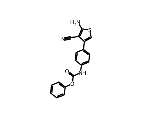 N#Cc1c(-c2ccc(NC(=O)Oc3ccccc3)cc2)csc1N